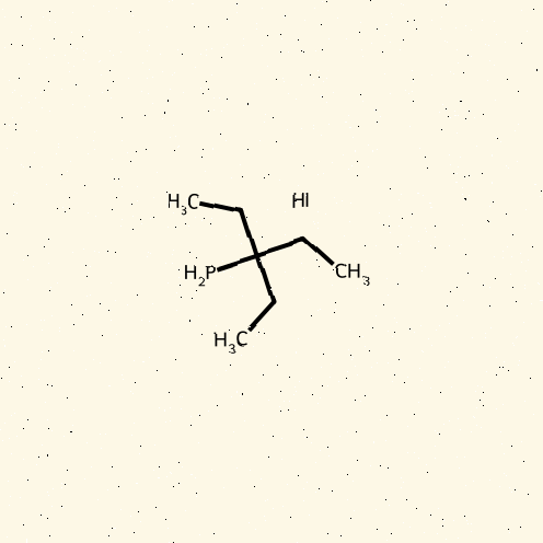 CCC(P)(CC)CC.I